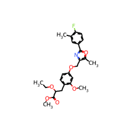 CCOC(Cc1ccc(OCc2nc(-c3ccc(F)c(C)c3)oc2C)cc1OC)C(=O)OC